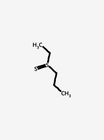 CCCS(=S)CC